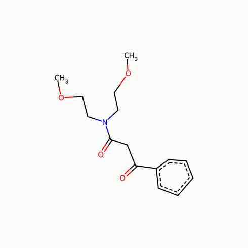 COCCN(CCOC)C(=O)CC(=O)c1ccccc1